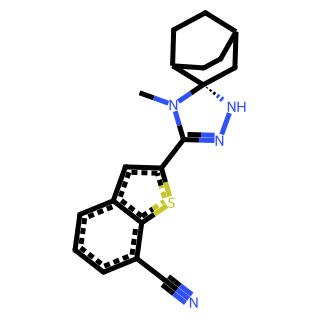 CN1C(c2cc3cccc(C#N)c3s2)=NN[C@]12CC1CCC2CC1